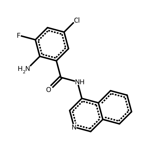 Nc1c(F)cc(Cl)cc1C(=O)Nc1cncc2ccccc12